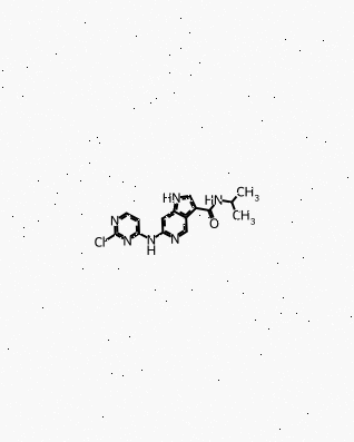 CC(C)NC(=O)c1c[nH]c2cc(Nc3ccnc(Cl)n3)ncc12